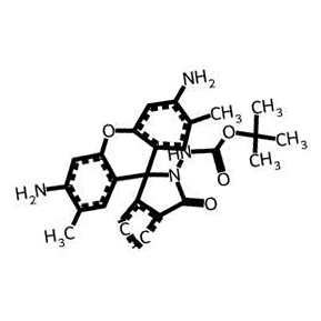 Cc1cc2c(cc1N)Oc1cc(N)c(C)cc1C21c2ccccc2C(=O)N1NC(=O)OC(C)(C)C